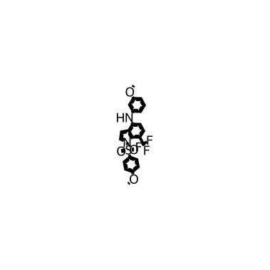 COc1ccc(S(=O)(=O)n2ccc3c(Nc4cccc(OC)c4)ccc(C(F)(F)F)c32)cc1